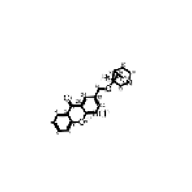 Cl.O=c1c2ccccc2oc2ccc(CO[C@@H]3CN4CCC3CC4)cc12